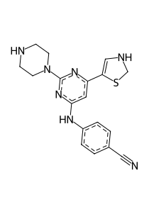 N#Cc1ccc(Nc2cc(C3=CNCS3)nc(N3CCNCC3)n2)cc1